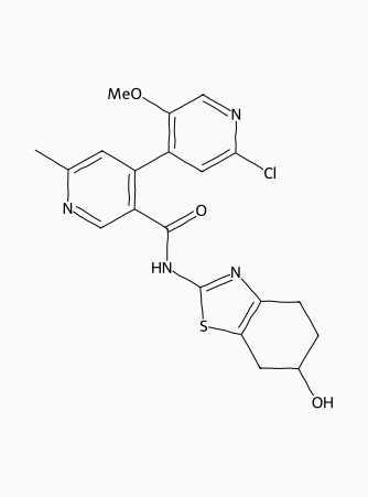 COc1cnc(Cl)cc1-c1cc(C)ncc1C(=O)Nc1nc2c(s1)CC(O)CC2